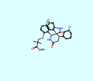 COC(=O)C(C)(C)COc1ccc(Br)cc1[C@@H]1NC(=O)C[C@H](c2cccc(Cl)c2)[C@@]12C(=O)Nc1cc(Cl)ccc12